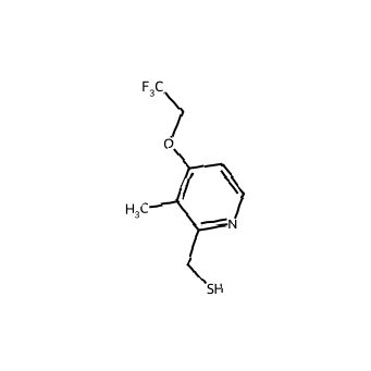 Cc1c(OCC(F)(F)F)ccnc1CS